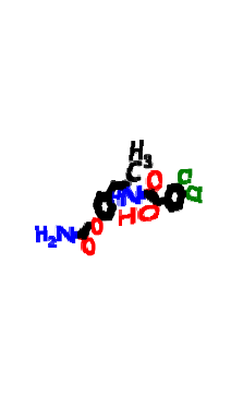 CC(Cc1ccc(OCC(N)=O)cc1)NC(=O)C(O)c1ccc(Cl)c(Cl)c1